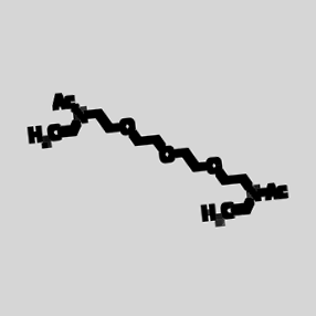 C=CN(CCOCCOCCOCCN(C=C)C(C)=O)C(C)=O